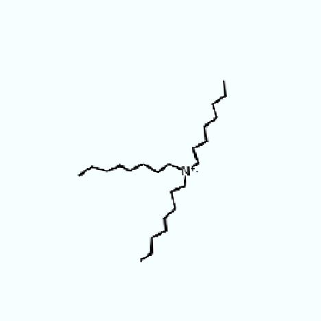 CCCCCCCC[N+](CCCCCCCC)CCCCCCCC